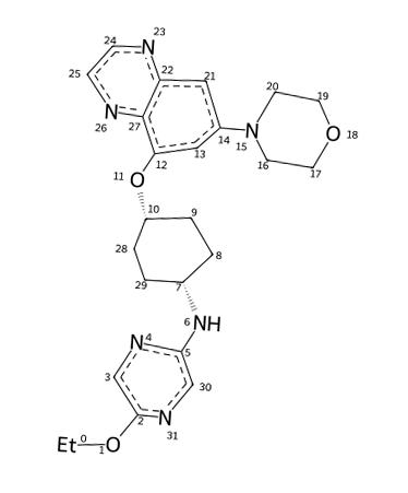 CCOc1cnc(N[C@H]2CC[C@@H](Oc3cc(N4CCOCC4)cc4nccnc34)CC2)cn1